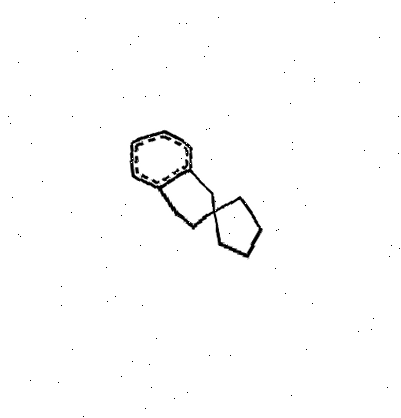 c1ccc2c(c1)CCC1(CCCC1)C2